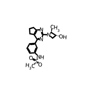 C[C@H]1[C@H](O)CN1c1nc2c(c(-c3cccc(NS(C)(=O)=O)c3)n1)CCC2